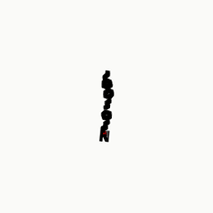 CCCc1ccc([C@H]2CC[C@H](CCCC[C@H]3CC[C@H](CCC=CC#N)CC3)CC2)cc1